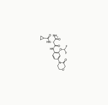 NC(=O)[C@@H](NC(=O)C1CC1)C(=O)Nc1ccc(N2CCOCC2=O)cc1OC(F)F